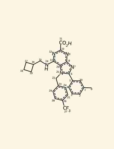 Cc1cccc(-c2nc3nc(C(=O)O)nc(NCC4CCC4)c3n2Cc2ccc(C(F)(F)F)cc2)c1